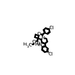 CCOC(=O)C1(C2c3[nH]c4ccc(Cl)cc4c3CCN2C(=O)c2ccc(Cl)cc2)CCC1